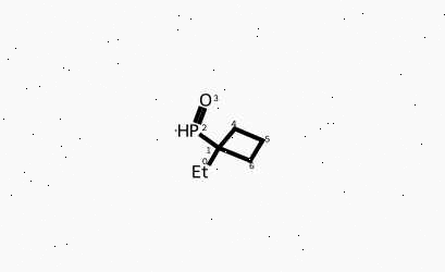 CCC1([PH]=O)CCC1